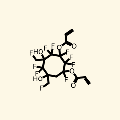 C=CC(=O)OC1(F)CC(O)(CF)C(F)(F)C(O)(CF)C(F)(F)C(F)(OC(=O)C=C)C1(F)F